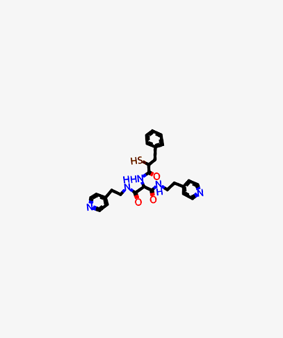 O=C(NC(C(=O)NCCc1ccncc1)C(=O)NCCc1ccncc1)C(S)Cc1ccccc1